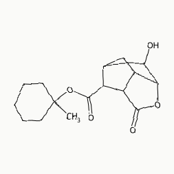 CC1(OC(=O)C2C3CC4C(OC(=O)C42)C3O)CCCCC1